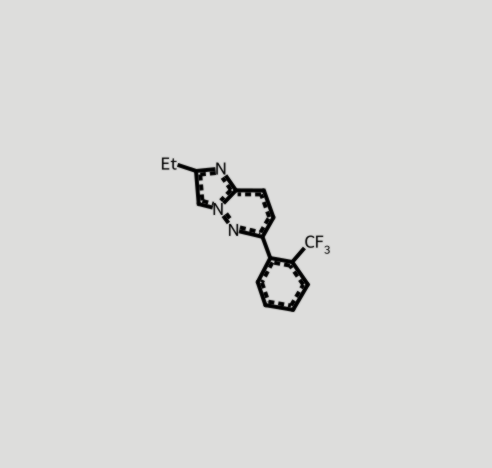 CCc1cn2nc(-c3ccccc3C(F)(F)F)ccc2n1